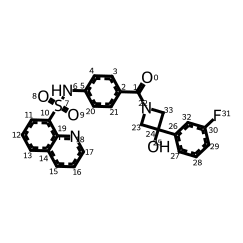 O=C(c1ccc(NS(=O)(=O)c2cccc3cccnc23)cc1)N1CC(O)(c2cccc(F)c2)C1